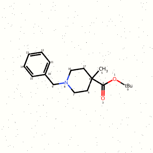 CC(C)(C)OC(=O)C1(C)CCN(Cc2ccccc2)CC1